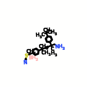 BC(C)(SC#N)c1ccc(C(C)(C)C#CC(C)(CN)c2ccc(C(C)(C)C)cc2)cc1